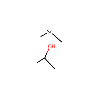 CC(C)O.[CH3][Sn][CH3]